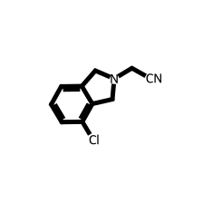 N#CCN1Cc2cccc(Cl)c2C1